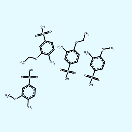 CCOc1cc(S(=O)(=O)O)ccc1N.CCOc1ccc(S(=O)(=O)O)cc1N.COc1cc(S(=O)(=O)O)ccc1N.COc1ccc(S(=O)(=O)O)cc1N